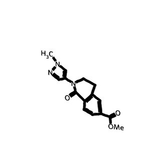 COC(=O)c1ccc2c(c1)CCN(c1cnn(C)c1)C2=O